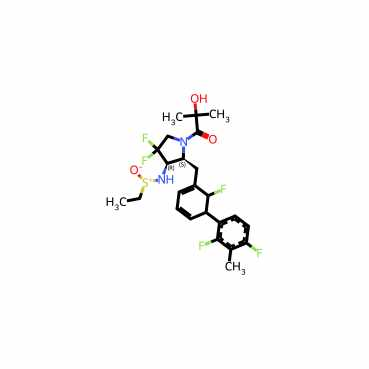 CC[S+]([O-])N[C@@H]1[C@H](CC2=CC=CC(c3ccc(F)c(C)c3F)C2F)N(C(=O)C(C)(C)O)CC1(F)F